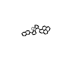 c1ccc2cc(-c3cccc4c3oc3cccc(-c5ccc6ccc7cccc8ccc5c6c78)c34)ccc2c1